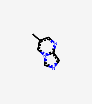 Cc1cnc2cncn2c1